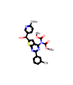 COc1ccc(C(O)c2cc3c(N(C(=O)OC(C)(C)C)C(=O)OC(C)(C)C)nc(-c4cccc(C#N)c4)nc3s2)cn1